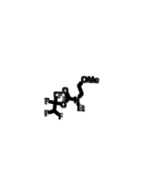 CCN(CCOC)C(=O)OC(F)(C(F)F)C(F)(F)F